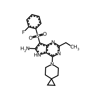 CCc1nc(N2CCC3(CC2)CC3)c2[nH]c(N)c(S(=O)(=O)c3ccccc3F)c2n1